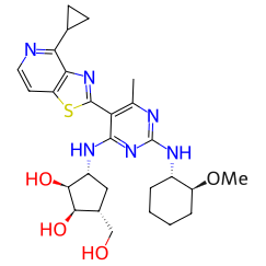 CO[C@H]1CCCC[C@@H]1Nc1nc(C)c(-c2nc3c(C4CC4)nccc3s2)c(N[C@@H]2C[C@H](CO)[C@@H](O)[C@H]2O)n1